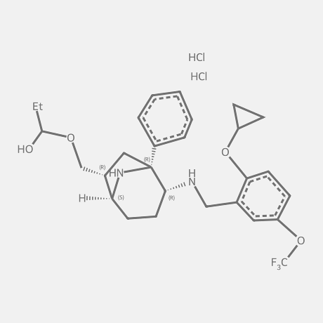 CCC(O)OC[C@@H]1C[C@]2(c3ccccc3)N[C@H]1CC[C@H]2NCc1cc(OC(F)(F)F)ccc1OC1CC1.Cl.Cl